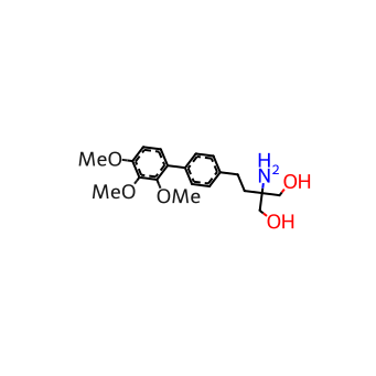 COc1ccc(-c2ccc(CCC(N)(CO)CO)cc2)c(OC)c1OC